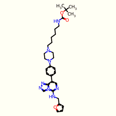 CC(C)(C)OC(=O)NCCCCCCN1CCN(c2ccc(-c3cnc(NCc4ccco4)n4cnnc34)cc2)CC1